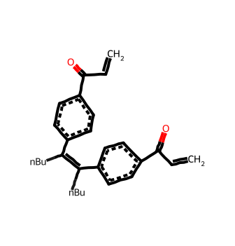 C=CC(=O)c1ccc(C(CCCC)=C(CCCC)c2ccc(C(=O)C=C)cc2)cc1